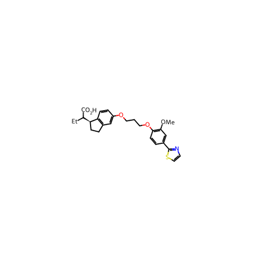 CCC(C(=O)O)[C@@H]1CCc2cc(OCCCOc3ccc(-c4nccs4)cc3OC)ccc21